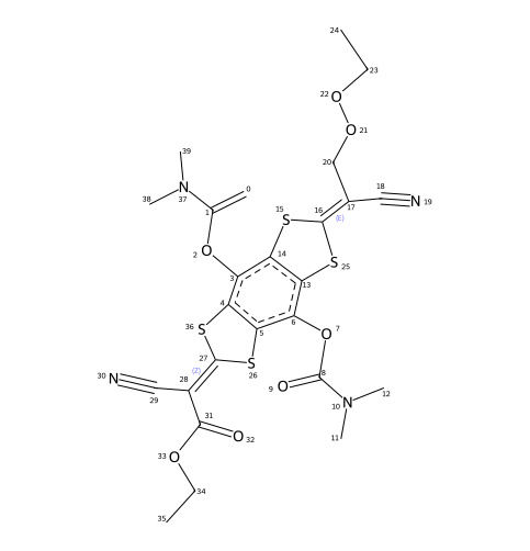 C=C(Oc1c2c(c(OC(=O)N(C)C)c3c1S/C(=C(/C#N)COOCC)S3)S/C(=C(/C#N)C(=O)OCC)S2)N(C)C